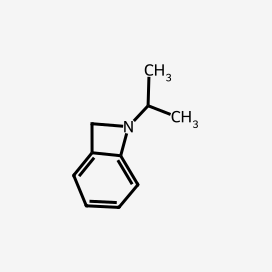 CC(C)N1Cc2ccccc21